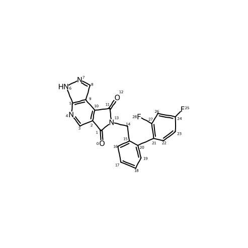 O=C1c2cnc3[nH]ncc3c2C(=O)N1Cc1ccccc1-c1ccc(F)cc1F